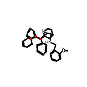 COc1ccccc1CNC1C2CCN(C(CCc3ccccc3)C2)C1C(c1ccccc1)c1ccccc1